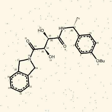 CC(C)COc1ccc([C@@H](C)NC(=O)[C@H](O)[C@@H](O)C(=O)N2Cc3ccccc3C2)cc1